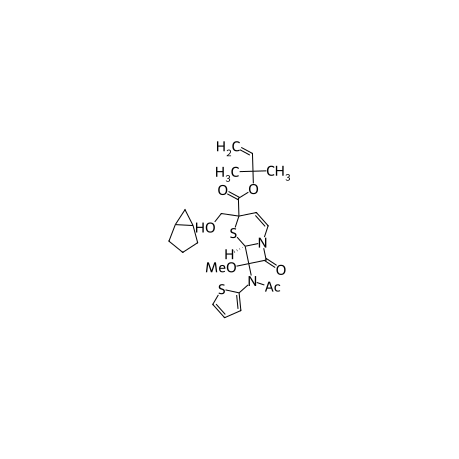 C1CC2CC2C1.C=CC(C)(C)OC(=O)C1(CO)C=CN2C(=O)C(OC)(N(C(C)=O)c3cccs3)[C@H]2S1